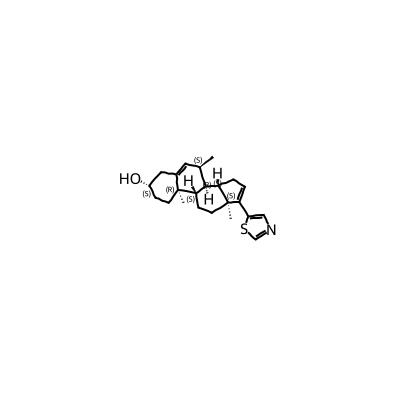 C[C@@H]1C=C2C[C@@H](O)CC[C@]2(C)[C@H]2CC[C@]3(C)C(c4cncs4)=CC[C@H]3[C@H]12